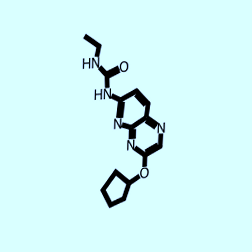 CCNC(=O)Nc1ccc2ncc(OC3CCCC3)nc2n1